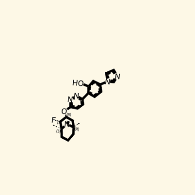 CN1[C@]2(C)CCC[C@@]1(C)[C@H](F)[C@H](Oc1ccc(-c3ccc(-n4ccnc4)cc3O)nn1)C2